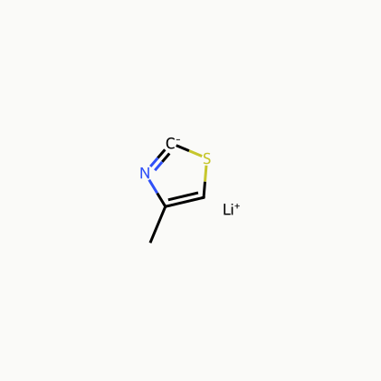 Cc1cs[c-]n1.[Li+]